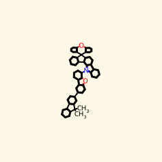 CC1(C)c2ccccc2-c2ccc(-c3ccc4oc5c(-n6c7ccccc7c7ccc8c(c76)-c6ccccc6C86c7ccccc7Oc7ccccc76)cccc5c4c3)cc21